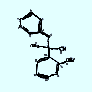 CCCCC(C#N)(Cc1cccnc1)c1ccccc1OC